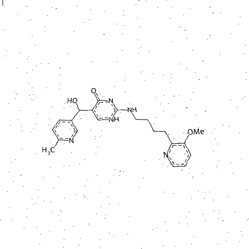 COc1cccnc1CCCCNc1nc(=O)c(C(O)c2ccc(C)nc2)c[nH]1